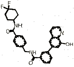 O=C(NCc1ccc(C(=O)NC2CCC(F)(F)CC2)cc1)c1cccc(-c2cc(O)c3ncccc3c2)c1